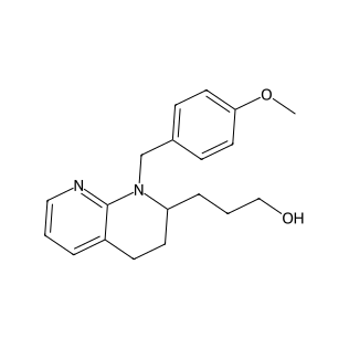 COc1ccc(CN2c3ncccc3CCC2CCCO)cc1